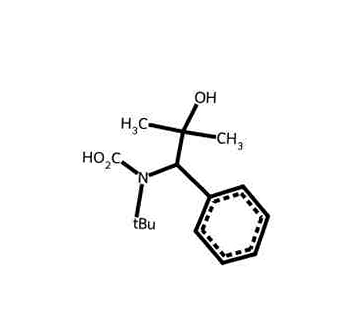 CC(C)(O)C(c1ccccc1)N(C(=O)O)C(C)(C)C